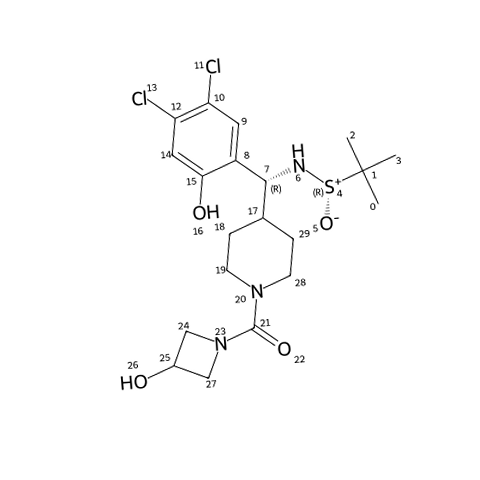 CC(C)(C)[S@+]([O-])N[C@@H](c1cc(Cl)c(Cl)cc1O)C1CCN(C(=O)N2CC(O)C2)CC1